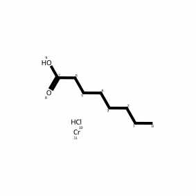 CCCCCCCC(=O)O.Cl.[Cr]